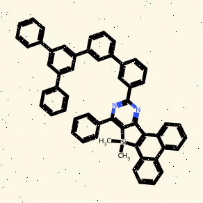 C[Si]1(C)c2c(-c3ccccc3)nc(-c3cccc(-c4cccc(-c5cc(-c6ccccc6)cc(-c6ccccc6)c5)c4)c3)nc2-c2c1c1ccccc1c1ccccc21